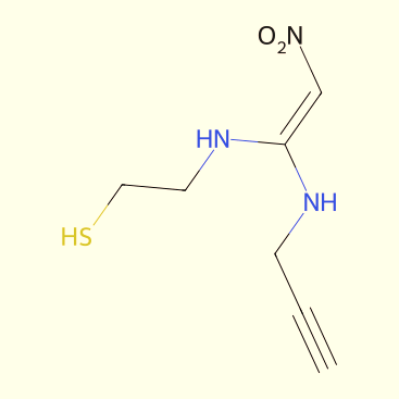 C#CCNC(=C[N+](=O)[O-])NCCS